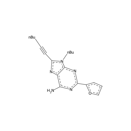 CCCCC#Cc1nc2c(N)nc(-c3ccco3)nc2n1CCCC